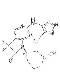 O=C1N([C@@H]2CCC[C@@H](O)C2)c2nc(Nc3c[nH]nc3C(F)(F)F)ncc2C12CC2